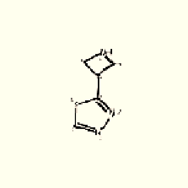 c1nnc(C2CNC2)s1